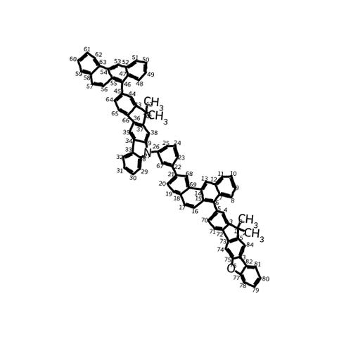 CC1(C)c2cc(-c3c4ccccc4cc4c3ccc3ccc(-c5cccc(-n6c7ccccc7c7cc8c(cc76)C(C)(C)c6cc(-c7c9ccccc9cc9c7ccc7ccccc79)ccc6-8)c5)cc34)ccc2-c2cc3oc4ccccc4c3cc21